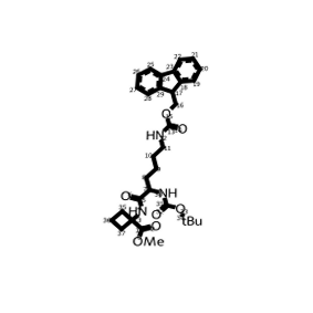 COC(=O)C1(NC(=O)C(CCCCNC(=O)OCC2c3ccccc3-c3ccccc32)NC(=O)OC(C)(C)C)CCC1